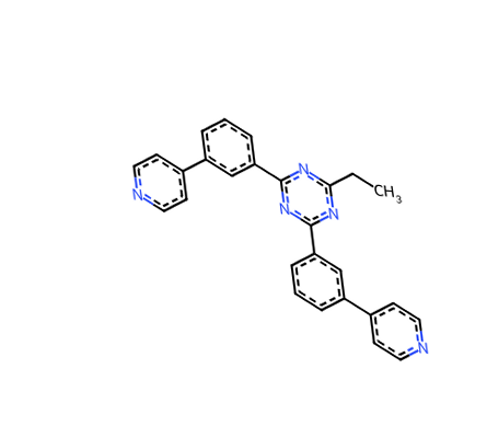 CCc1nc(-c2cccc(-c3ccncc3)c2)nc(-c2cccc(-c3ccncc3)c2)n1